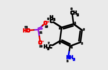 Cc1ccc(N)c(C)c1C.[O-][I+2]([O-])O